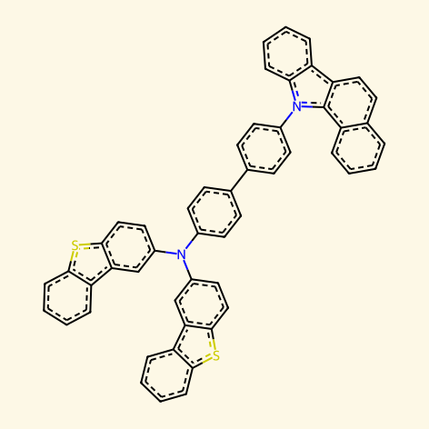 c1ccc2c(c1)ccc1c3ccccc3n(-c3ccc(-c4ccc(N(c5ccc6sc7ccccc7c6c5)c5ccc6sc7ccccc7c6c5)cc4)cc3)c21